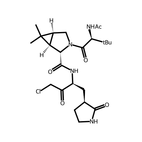 CC(=O)N[C@H](C(=O)N1C[C@H]2[C@@H]([C@H]1C(=O)N[C@@H](C[C@@H]1CCNC1=O)C(=O)CCl)C2(C)C)C(C)(C)C